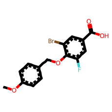 COc1ccc(COc2c(F)cc(C(=O)O)cc2Br)cc1